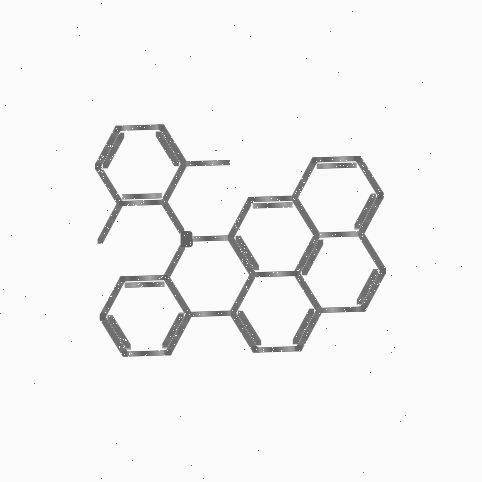 Cc1cccc(C)c1B1c2ccccc2-c2ccc3ccc4cccc5cc1c2c3c45